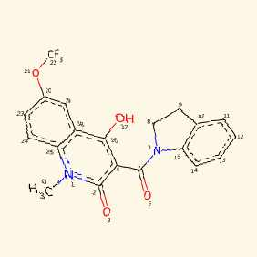 Cn1c(=O)c(C(=O)N2CCc3ccccc32)c(O)c2cc(OC(F)(F)F)ccc21